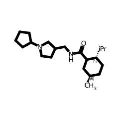 CC(C)[C@@H]1CC[C@@H](C)CC1C(=O)NCC1CCN(C2CCCC2)C1